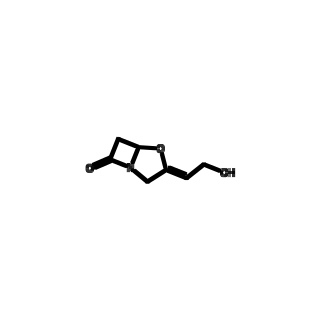 O=C1CC2O/C(=C\CO)CN12